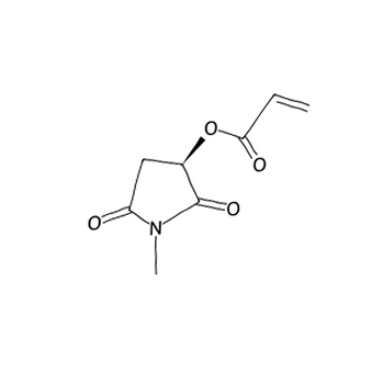 C=CC(=O)O[C@@H]1CC(=O)N(C)C1=O